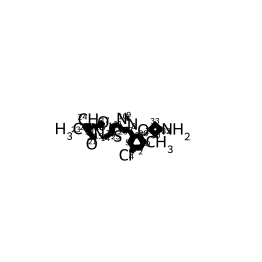 Cc1cc(Cl)cc(-c2ncnc3cc(CN4C(=O)C5C(C4=O)C5(C)C)sc23)c1OC1CC(N)C1